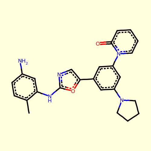 Cc1ccc(N)cc1Nc1ncc(-c2cc(N3CCCC3)cc(-n3ccccc3=O)c2)o1